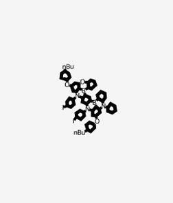 CCCCc1ccc(Oc2cc3c4c(c2)N(c2ccc(I)cc2)c2cc5c(cc2B4c2ccccc2O3)B2c3ccccc3N(c3ccccc3)c3cc(Oc4ccc(CCCC)cc4)cc(c32)N5c2ccc(I)cc2)cc1